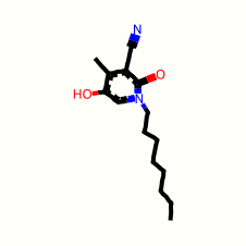 CCCCCCCCn1cc(O)c(C)c(C#N)c1=O